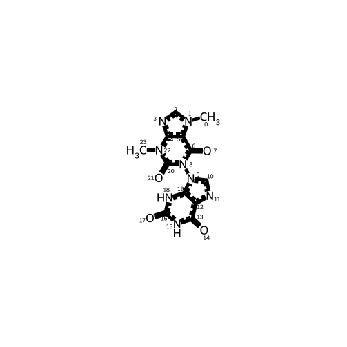 Cn1cnc2c1c(=O)n(-n1cnc3c(=O)[nH]c(=O)[nH]c31)c(=O)n2C